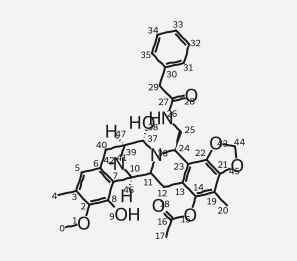 COc1c(C)cc2c(c1O)[C@@H]1C3Cc4c(OC(C)=O)c(C)c5c(c4[C@H](CNC(=O)Cc4ccccc4)N3[C@@H](O)[C@H](C2)N1C)OCO5